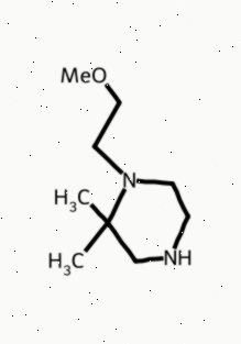 COCCN1CCNCC1(C)C